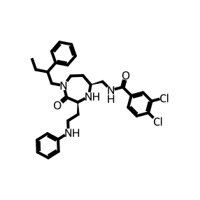 CCC(CN1CC[C@@H](CNC(=O)c2ccc(Cl)c(Cl)c2)N[C@@H](CCNc2ccccc2)C1=O)c1ccccc1